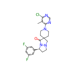 Cc1c(Cl)ncnc1N1CCC2(CC1)CN1CC[C@@H](c3cc(F)cc(F)c3)N1C2=O